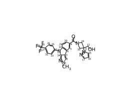 Cn1cc2c3cc(C(=O)N4CC(CO)(n5cccn5)C4)ccc3n(-c3ccc(C(F)(F)F)cc3)c2n1